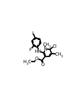 CCOC(=O)C1=C(Nc2ccc(I)cc2F)N(C)C(Cl)C(C)=C1